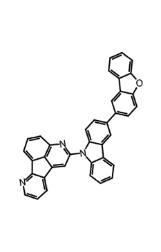 c1cnc2c(c1)-c1cc(-n3c4ccccc4c4cc(-c5ccc6oc7ccccc7c6c5)ccc43)nc3cccc-2c13